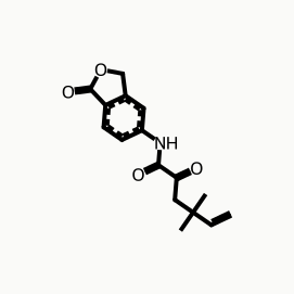 C=CC(C)(C)CC(=O)C(=O)Nc1ccc2c(c1)COC2=O